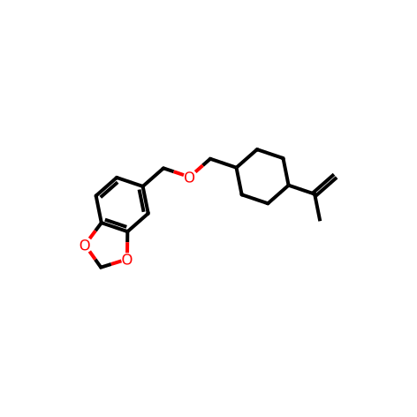 C=C(C)C1CCC(COCc2ccc3c(c2)OCO3)CC1